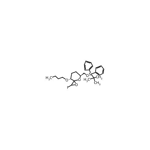 CCCCO[C@@H]1CC[C@@H](CO[Si](c2ccccc2)(c2ccccc2)C(C)(C)C)OC12OC2I